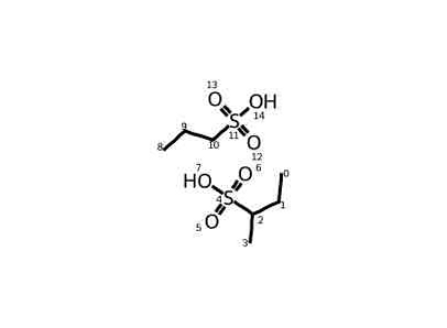 CCC(C)S(=O)(=O)O.CCCS(=O)(=O)O